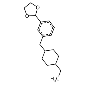 CCC1CCC(Cc2cccc(C3OCCO3)c2)CC1